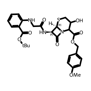 COc1ccc(COC(=O)C2C(O)CS[C@@H]3[C@H](NC(=O)CNc4ccccc4C(=O)OC(C)(C)C)C(=O)N23)cc1